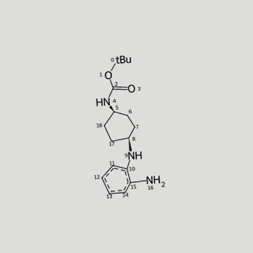 CC(C)(C)OC(=O)N[C@H]1CC[C@@H](Nc2ccccc2N)CC1